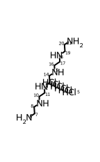 Cl.Cl.Cl.Cl.Cl.Cl.NCCNCCNCCNCCNCCN